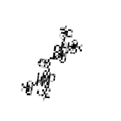 C=C(C)C(=O)OCCNC(=O)N(CCOC(=O)C(=C)C)C(=O)OCCC1C2CC3CC(C2)C(COC(=O)N(CCOC(=O)C(=C)C)C(=O)NCCOC(=O)C(=C)C)C1C3